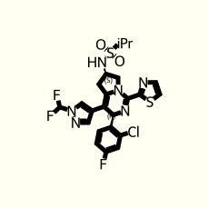 CC(C)S(=O)(=O)N[C@H]1CC2=C(c3cnn(C(F)F)c3)[C@H](c3ccc(F)cc3Cl)N=C(c3nccs3)N2C1